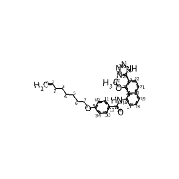 C=CCCCCCCOc1ccc(C(=O)Nc2cccc3ccc(-c4nnn[nH]4)c(OC)c23)cc1